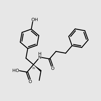 CC[C@@](Cc1ccc(O)cc1)(NC(=O)CCc1ccccc1)C(=O)O